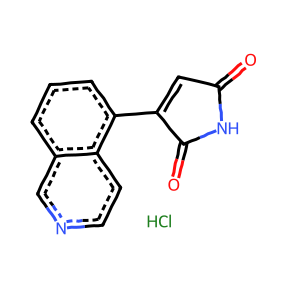 Cl.O=C1C=C(c2cccc3cnccc23)C(=O)N1